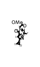 COC(=O)Cn1nc(C)n2nc(C3CC3)cc2c1=O